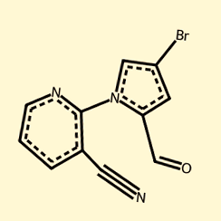 N#Cc1cccnc1-n1cc(Br)cc1C=O